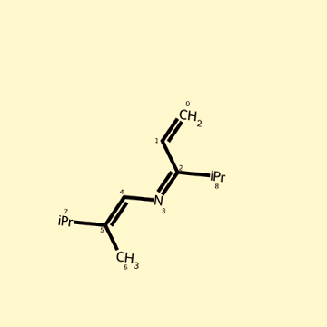 C=C/C(=N\C=C(/C)C(C)C)C(C)C